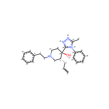 C=CC[C@@H]1CN(CCc2ccccc2)CC[C@]1(O)c1nnc(C)n1-c1ccccc1